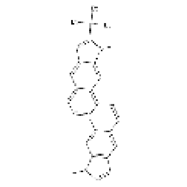 CC[Si](CC)(CC)c1cc2cc3ccc4c5cc6c(ccn6C)cc5ccc4c3cc2n1C